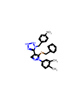 Cc1ccc(-n2ncc(C3=NNNN3Cc3ccc([N+](=O)[O-])cc3)c2SCc2ccccc2)cc1C